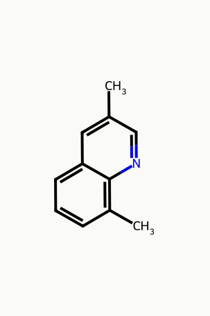 Cc1cnc2c(C)cccc2c1